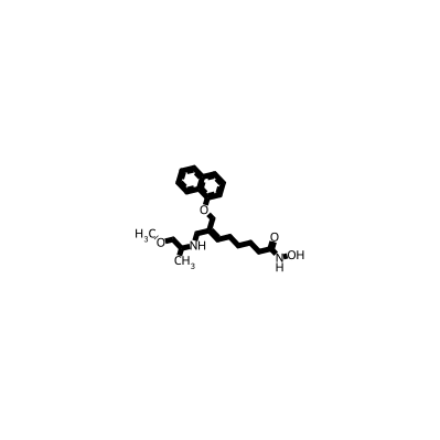 COCC(C)NC/C(=C/CCCCC(=O)NO)COc1cccc2ccccc12